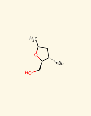 CCCC[C@H]1CC(C)O[C@@H]1CO